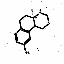 Nc1ccc2c(c1)C1CCCN[C@@H]1CC2